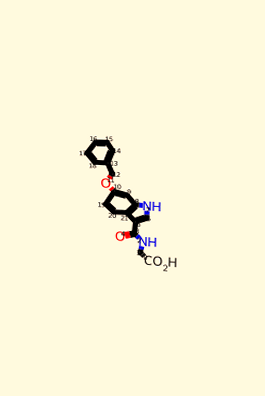 O=C(O)CNC(=O)c1c[nH]c2cc(OCc3ccccc3)ccc12